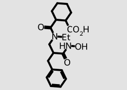 CCN(CC(Cc1ccccc1)C(=O)NO)C(=O)C1CCCCC1C(=O)O